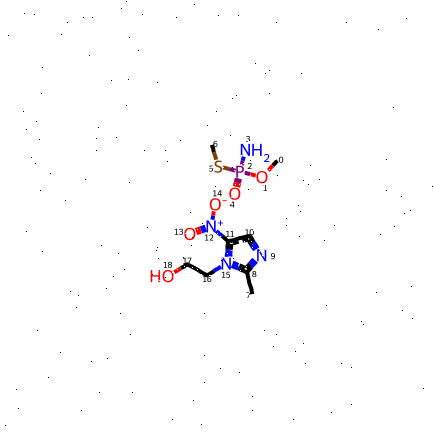 COP(N)(=O)SC.Cc1ncc([N+](=O)[O-])n1CCO